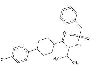 CC(C)C(NS(=O)(=O)Cc1ccccc1)C(=O)N1CCC(c2ccc(Cl)cc2)CC1